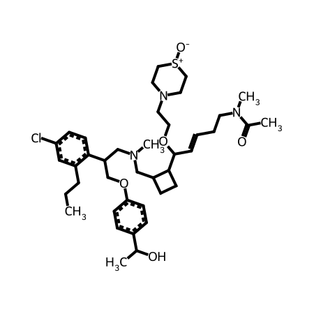 CCCc1cc(Cl)ccc1C(COc1ccc(C(C)O)cc1)CN(C)CC1CCC1C(/C=C/CCN(C)C(C)=O)OCCN1CC[S+]([O-])CC1